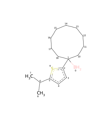 BC1(c2ccc(C(C)C)s2)CCCCCCCCC1